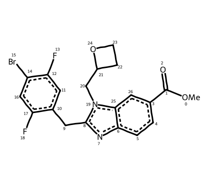 COC(=O)c1ccc2nc(Cc3cc(F)c(Br)cc3F)n(CC3CCO3)c2c1